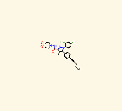 [C-]#[N+]CCC#Cc1ccc(-c2c(C)c(C(=O)NN3CCS(=O)(=O)CC3)nn2-c2ccc(Cl)cc2Cl)cc1